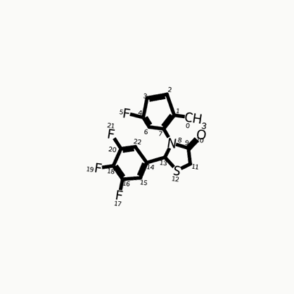 Cc1ccc(F)cc1N1C(=O)CSC1c1cc(F)c(F)c(F)c1